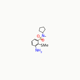 CSc1c(N)cccc1S(=O)(=O)N(C)C1CCCC1